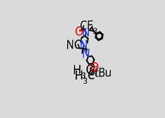 CC(C)(C)[Si](C)(C)OC1CCC(N2CC(CC#N)(N3CCC(N(C(=O)C(F)(F)F)[C@@H]4CC4c4ccccc4)CC3)C2)CC1